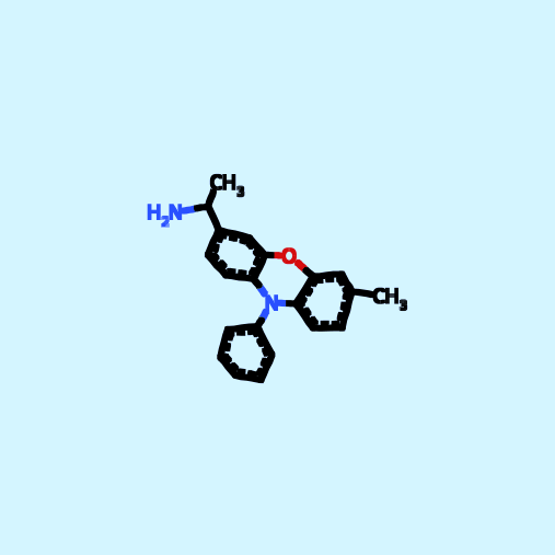 Cc1ccc2c(c1)Oc1cc(C(C)N)ccc1N2c1ccccc1